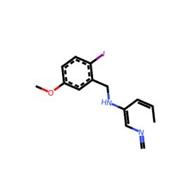 C=N/C=C(\C=C/C)NCc1cc(OC)ccc1I